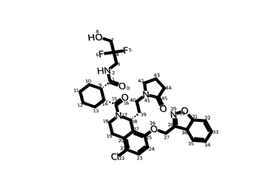 O=C(NCC(F)(F)CO)[C@H]1CCCC[C@H]1C(=O)N1CCc2c(Cl)ccc(OCC3=NOC4C=CC=CC34)c2[C@H]1CCN1CCCC1=O